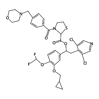 O=C(OC(Cc1c(Cl)cncc1Cl)c1ccc(OC(F)F)c(OCC2CC2)c1)C1SCCN1C(=O)c1ccc(CN2CCOCC2)cc1